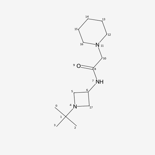 CC(C)(C)N1CC(NC(=O)CN2CCCCC2)C1